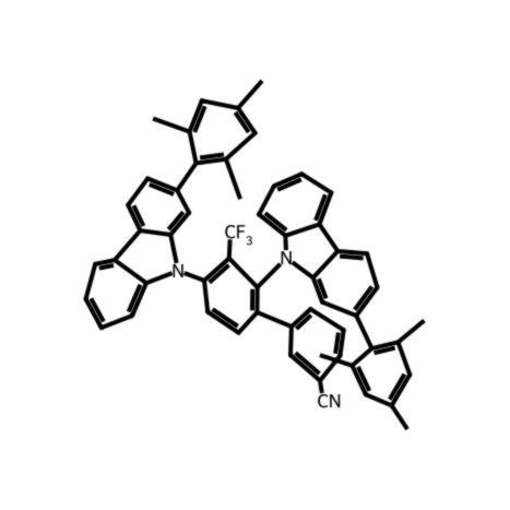 Cc1cc(C)c(-c2ccc3c4ccccc4n(-c4ccc(-c5cccc(C#N)c5)c(-n5c6ccccc6c6ccc(-c7c(C)cc(C)cc7C)cc65)c4C(F)(F)F)c3c2)c(C)c1